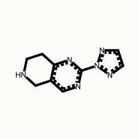 c1cnn(-c2ncc3c(n2)CCNC3)n1